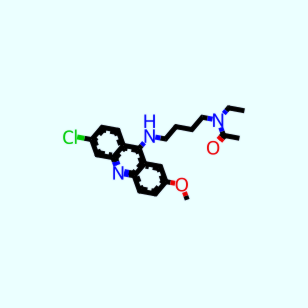 CCN(CCCCNc1c2ccc(Cl)cc2nc2ccc(OC)cc12)C(C)=O